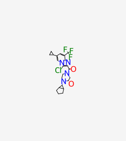 O=C(c1nc2c(C(F)(F)F)cc(C3CC3)cn2c1Cl)N1CCN(C2C3CCCC32)C(=O)C1